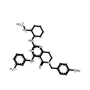 COc1ccc(CN2CCc3nc(NC4CCCCC4NC(=O)O)nc(Nc4cccc(C)c4)c3C2=O)cc1